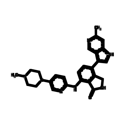 Cc1cc2[nH]cc(-c3ccc(Nc4ccc(N5CCN(C)CC5)cn4)c4c3CNC4=O)c2cn1